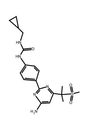 CC(C)(c1cc(N)nc(-c2ccc(NC(=O)NCC3CC3)cc2)n1)S(C)(=O)=O